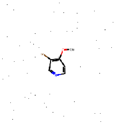 CC(C)(C)Oc1ccncc1Br